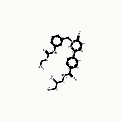 CCOC(=O)Nc1cccc(Cn2nc(-c3ccc(C(=O)NCC(O)CO)cc3)ccc2=O)c1